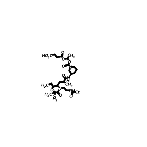 C=CC1=C(/C=C(\C)C(=O)N[C@@H]2CCCN(C(=O)OC(C)OC(=O)CCC(=O)O)C2)N(CCNC(=O)CC)C(=O)C(C)(C)O1